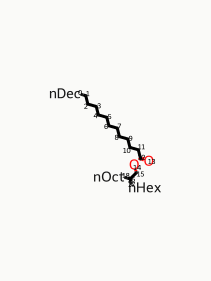 CCCCCCCCCCCCCCCCCCCCCC(=O)OCC(CCCCCC)CCCCCCCC